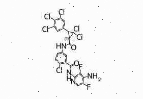 Nc1c(F)cnc(NC(=O)c2cc(NC(=O)[C@H]3C(c4cc(Cl)c(Cl)c(Cl)c4)C3(Cl)Cl)ccc2Cl)c1F